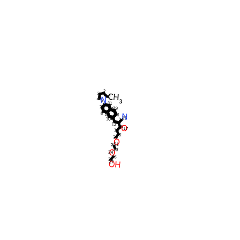 CC1CCCN1c1ccc2cc(/C=C(\C#N)C(=O)CCCOCCOCCO)ccc2c1